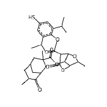 CC1CC2CC(CC(C)(C(=O)OC3C4OC(=O)C(C(=O)Oc5c(C(C)C)cc(S)cc5C(C)C)C3OC4C)C2)C1=O